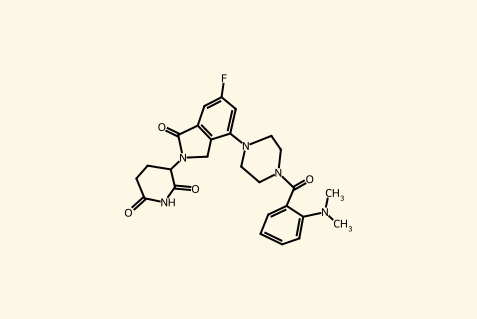 CN(C)c1ccccc1C(=O)N1CCN(c2cc(F)cc3c2CN(C2CCC(=O)NC2=O)C3=O)CC1